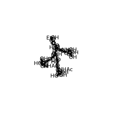 CCP(=O)(O)O[C@H]1CC[C@@H](C(=O)NC(CCC(=O)NC(CCC(=O)NCCOCCOC2OC(CO)C(O)C(O)C2NC(C)=O)C(=O)NCCOCCOC2OC(CO)C(O)C(O)C2NC(C)=O)C(=O)NCCOCCOC2OC(CO)C(O)C(O)C2NC(C)=O)CC1